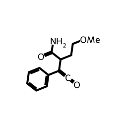 COCCC(C(N)=O)C(=C=O)c1ccccc1